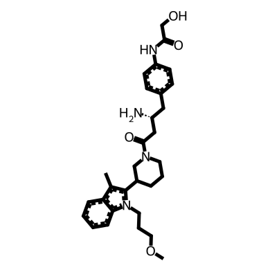 COCCCn1c(C2CCCN(C(=O)C[C@H](N)Cc3ccc(NC(=O)CO)cc3)C2)c(C)c2ccccc21